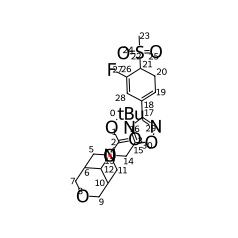 CC(C)(C)OC(=O)N1CC2COCC(C1)C2OCc1nc(C2=CCC(S(C)(=O)=O)C(F)=C2)no1